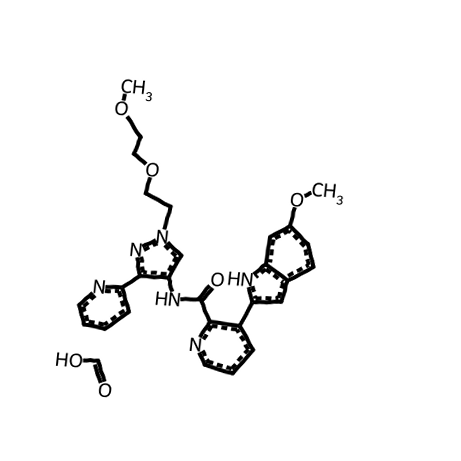 COCCOCCn1cc(NC(=O)c2ncccc2-c2cc3ccc(OC)cc3[nH]2)c(-c2ccccn2)n1.O=CO